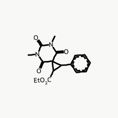 CCOC(=O)C1C(c2ccccc2)C12C(=O)N(C)C(=O)N(C)C2=O